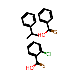 CC(C)c1ccccc1.OC(=S)c1ccccc1.OC(=S)c1ccccc1Cl